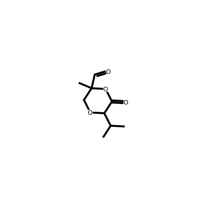 CC(C)C1OCC(C)(C=O)OC1=O